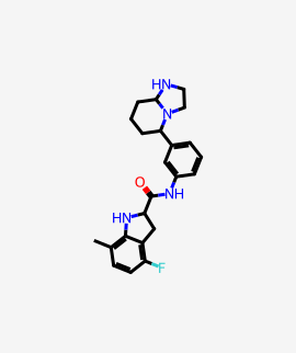 Cc1ccc(F)c2c1NC(C(=O)Nc1cccc(C3CCCC4NCCN43)c1)C2